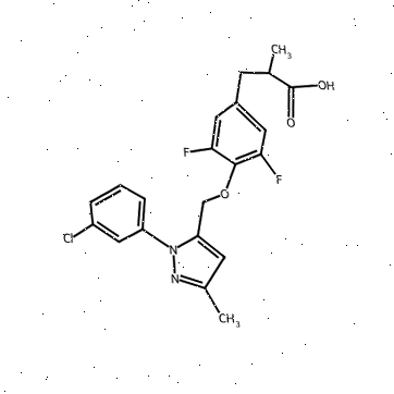 Cc1cc(COc2c(F)cc(CC(C)C(=O)O)cc2F)n(-c2cccc(Cl)c2)n1